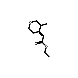 CCOC(=O)/C=C1\CCOCC1C